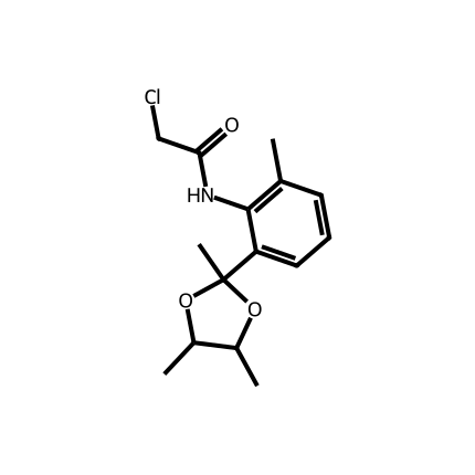 Cc1cccc(C2(C)OC(C)C(C)O2)c1NC(=O)CCl